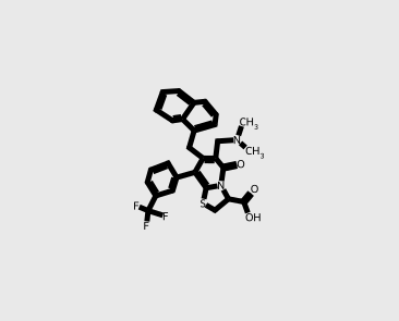 CN(C)Cc1c(Cc2cccc3ccccc23)c(-c2cccc(C(F)(F)F)c2)c2n(c1=O)C(C(=O)O)CS2